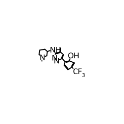 Cc1cc(-c2ccc(C(F)(F)F)cc2O)nnc1NC1CCCN(C)C1